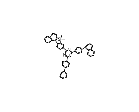 C[Si]1(C)c2cc(-c3nc(-c4ccc(-c5ccccc5)cc4)nc(-c4ccc(-c5cccc6ccccc56)cc4)n3)ccc2-c2c1ccc1ccccc21